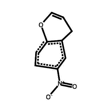 O=[N+]([O-])c1ccc2c(c1)CC=CO2